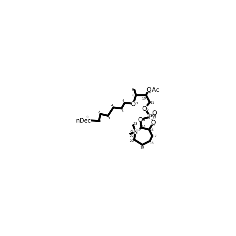 CCCCCCCCCCCCCCCCOC(C)C(COP1(=O)OC2CCCC[N+](C)(C)C2O1)OC(C)=O